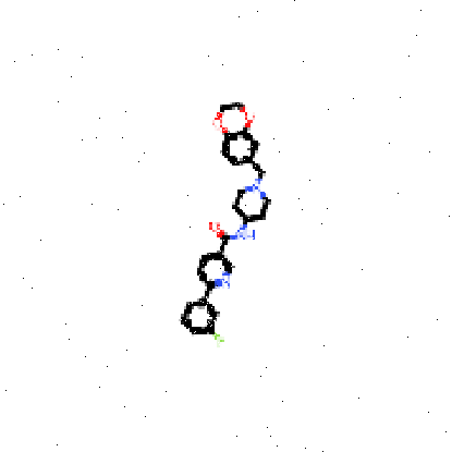 O=C(NC1CCN(Cc2ccc3c(c2)OCCO3)CC1)c1ccc(-c2cccc(F)c2)nc1